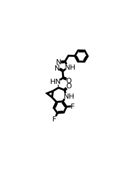 O=C(N[C@@H]1C(=O)Nc2c(F)cc(F)cc2C2CC21)c1nnc(Cc2ccccc2)[nH]1